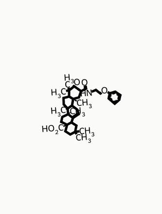 CC1(C)CC[C@]2(C(=O)O)CC[C@]3(C)C(=CCC4[C@@]5(C)CC(C(=O)NCCOc6ccccc6)C(=O)C(C)(C)C5CC[C@]43C)C2C1